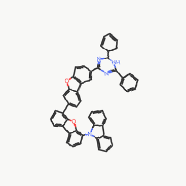 C1=CCC(C2N=C(c3ccc4oc5cc(-c6cccc7c6oc6c(-n8c9ccccc9c9ccccc98)cccc67)ccc5c4c3)N=C(c3ccccc3)N2)C=C1